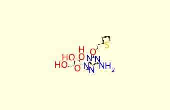 Nc1nc(OCCc2cccs2)nc2c1ncn2[C@@H]1O[C@H](CO)C(O)C1O